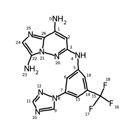 Nc1cc(Nc2cc(-n3cncn3)cc(C(F)(F)F)c2)nn2c(N)cnc12